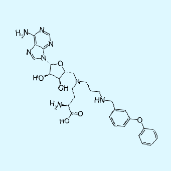 Nc1ncnc2c1ncn2[C@@H]1O[C@H](CN(CCCNCc2cccc(Oc3ccccc3)c2)CC[C@H](N)C(=O)O)[C@@H](O)[C@H]1O